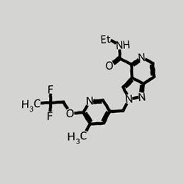 CCNC(=O)c1nccc2nn(Cc3cnc(OCC(C)(F)F)c(C)c3)cc12